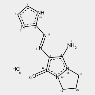 Cl.Nc1c(N=Nc2ncc[nH]2)c(=O)n2n1CCC2